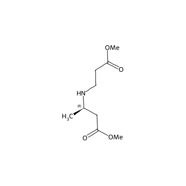 COC(=O)CCN[C@H](C)CC(=O)OC